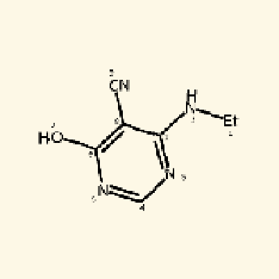 CCNc1ncnc(O)c1C#N